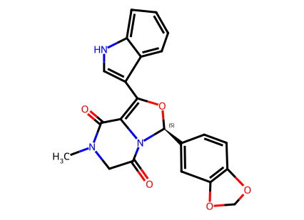 CN1CC(=O)N2C(=C(c3c[nH]c4ccccc34)O[C@H]2c2ccc3c(c2)OCO3)C1=O